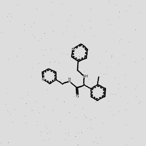 Cc1ccccc1C(NCc1cccnc1)C(=O)NCc1cccnc1